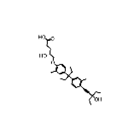 CCC(O)(C#Cc1ccc(C(CC)(CC)c2ccc(OC[C@H](O)CCC(=O)O)c(C)c2)cc1C)CC